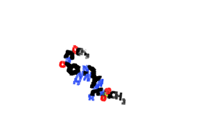 CCS(=O)(=O)N1CC(CC#N)(n2cc(-c3ccnc(Nc4ccc(C(=O)N5CCC(OC)C5)cc4)n3)cn2)C1